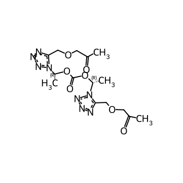 CC(=O)COCc1nnnn1[C@@H](C)OC(=O)O[C@H](C)n1nnnc1COCC(C)=O